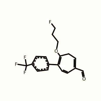 O=CC1=CCC(OCCCF)=C(c2ccc(C(F)(F)F)cc2)C=C1